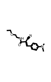 CCOCCNC(=O)/C(C#N)=C/c1ccc(N(C)C)cc1